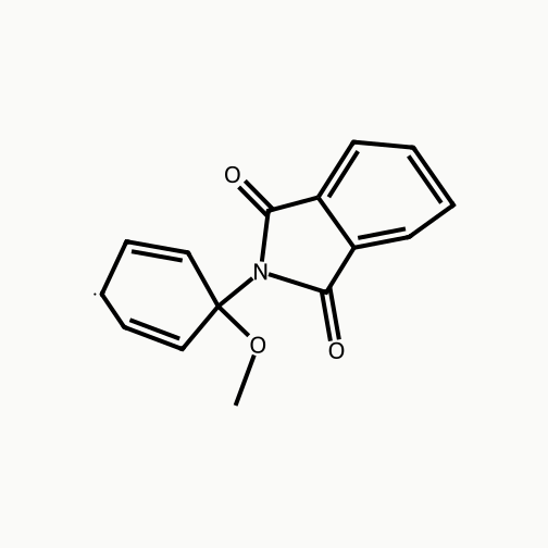 COC1(N2C(=O)c3ccccc3C2=O)C=C[CH]C=C1